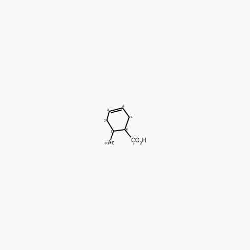 CC(=O)C1CC=CCC1C(=O)O